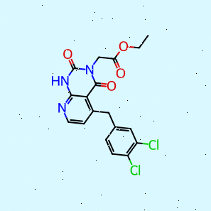 CCOC(=O)Cn1c(=O)[nH]c2nccc(Cc3ccc(Cl)c(Cl)c3)c2c1=O